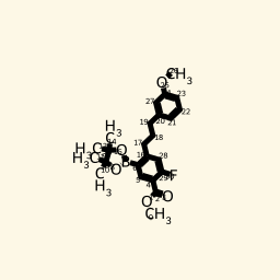 COC(=O)c1cc(B2OC(C)(C)C(C)(C)O2)c(CCCc2cccc(OC)c2)cc1F